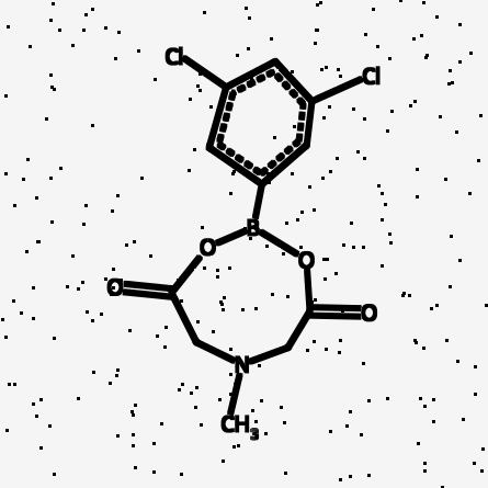 CN1CC(=O)OB(c2cc(Cl)cc(Cl)c2)OC(=O)C1